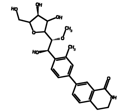 CO[C@@H](C1OC(CO)[C@@H](O)C1O)[C@H](O)c1ccc(-c2ccc3c(c2)C(=O)NCC3)cc1C